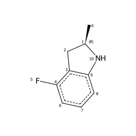 C[C@@H]1Cc2c(F)cccc2N1